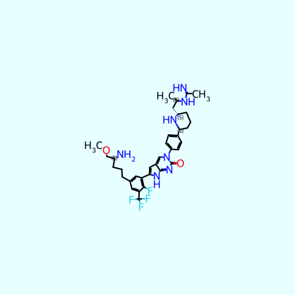 COC[C@H](N)CCCc1cc(-c2cc3cn(-c4ccc([C@@H]5CCC[C@@H](C[C@@H](C)NC(C)=N)N5)cc4)c(=O)nc3[nH]2)c(F)c(C(F)(F)F)c1